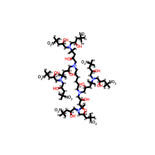 CC(C)(CC(O)CN(CCCCCCN(CC(O)CC(C)(C)N(CC(O)CC(C)(C)[N+](=O)[O-])CC(O)CC(C)(C)[N+](=O)[O-])CC(O)CC1(C)OC(CC(C)(C)[N+](=O)[O-])CN1CC(O)CC(C)(C)[N+](=O)[O-])CC(O)CC(C)(C)N(CC(O)CC(C)(C)[N+](=O)[O-])CC(O)CC(C)(C)[N+](=O)[O-])N(CC(O)CC(C)(C)[N+](=O)[O-])CC(O)CC(C)(C)[N+](=O)[O-]